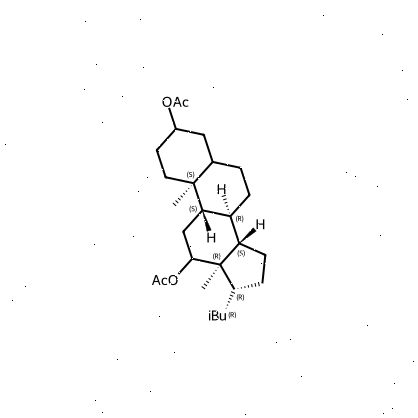 [CH2]C[C@@H](C)[C@H]1CC[C@H]2[C@@H]3CCC4CC(OC(C)=O)CC[C@]4(C)[C@H]3CC(OC(C)=O)[C@]12C